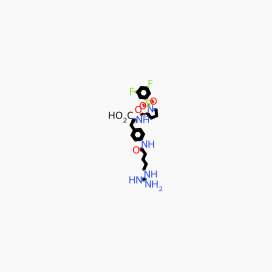 N=C(N)NCCCCC(=O)Nc1ccc(C[C@H](NC(=O)[C@@H]2CCCN2S(=O)(=O)c2cc(F)cc(F)c2)C(=O)O)cc1